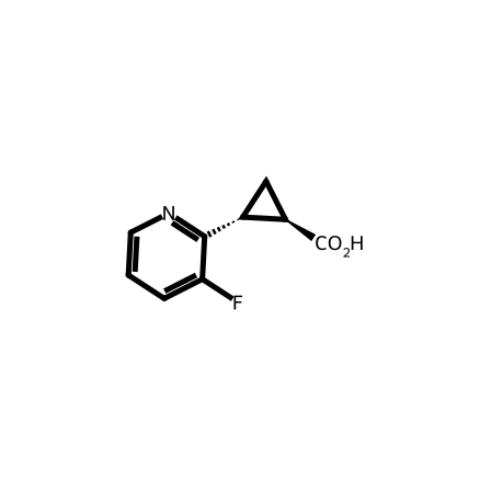 O=C(O)[C@@H]1C[C@H]1c1ncccc1F